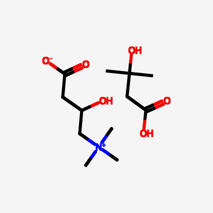 CC(C)(O)CC(=O)O.C[N+](C)(C)CC(O)CC(=O)[O-]